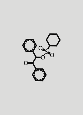 O=C(c1ccccc1)C(OS(=O)(=O)C1CCCCC1)c1ccccc1